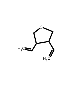 C=CC1CSCC1C=C